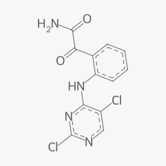 NC(=O)C(=O)c1ccccc1Nc1nc(Cl)ncc1Cl